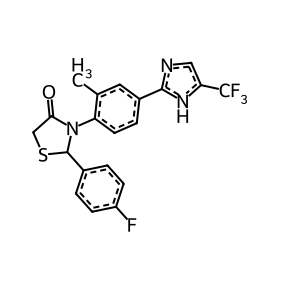 Cc1cc(-c2ncc(C(F)(F)F)[nH]2)ccc1N1C(=O)CSC1c1ccc(F)cc1